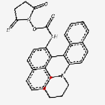 O=C(Nc1ccc2ccccc2c1-c1c(N2CCCCC2)ccc2ccccc12)ON1C(=O)CCC1=O